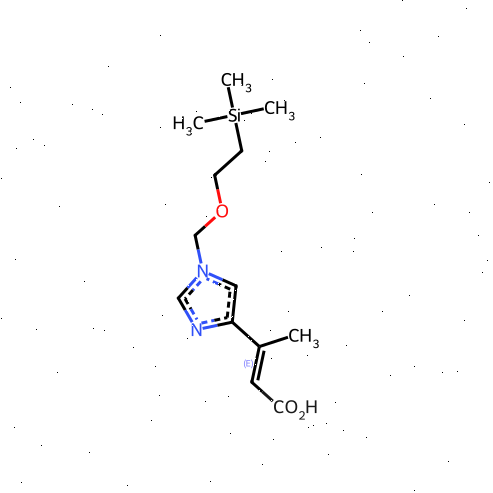 C/C(=C\C(=O)O)c1cn(COCC[Si](C)(C)C)cn1